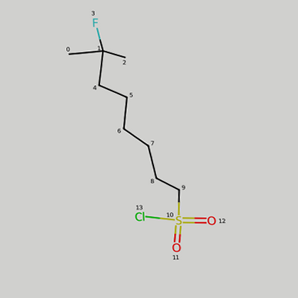 CC(C)(F)CCCCCCS(=O)(=O)Cl